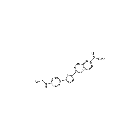 COC(=O)c1ccc2cc(-c3ccc(-c4ccc(NCC(C)=O)cc4)s3)ccc2c1